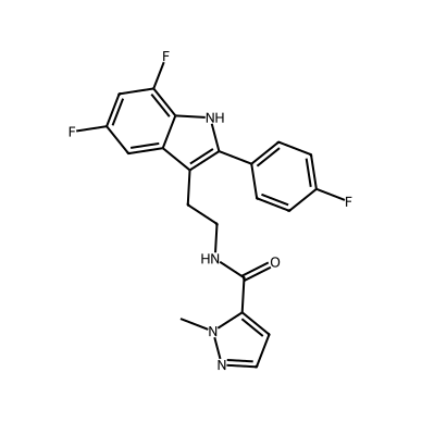 Cn1nccc1C(=O)NCCc1c(-c2ccc(F)cc2)[nH]c2c(F)cc(F)cc12